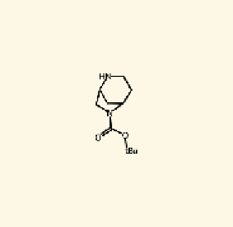 CC(C)(C)OC(=O)N1CC2CC1CCN2